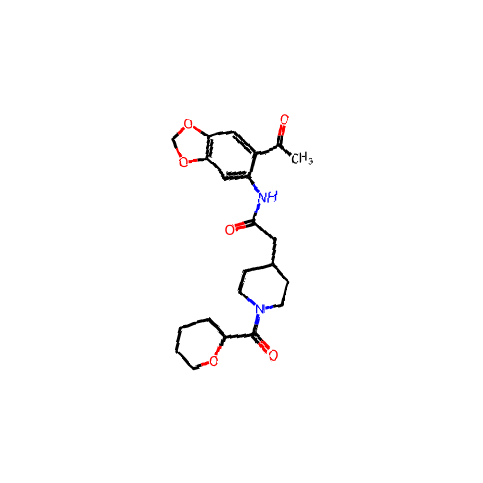 CC(=O)c1cc2c(cc1NC(=O)CC1CCN(C(=O)C3CCCCO3)CC1)OCO2